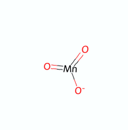 [O]=[Mn](=[O])[O-]